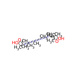 CC1=C(C#C/C(C)=C/C=C/C(C)=C/C=C/C=C(C)/C=C/C=C(C)/C=C/C2=C(C)C(=O)C(O)CC2(C)C)C(C)(C)CC(O)C1=O